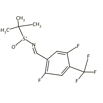 CC(C)(C)[S+]([O-])N=Cc1cc(F)c(C(F)(F)F)cc1F